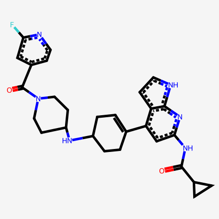 O=C(Nc1cc(C2=CCC(NC3CCN(C(=O)c4ccnc(F)c4)CC3)CC2)c2cc[nH]c2n1)C1CC1